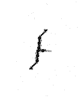 C=CC(=O)OCCCCCCOc1ccc(OC(=O)c2ccc(OC(=O)c3ccc4c(c3)nc(Sc3ccc(OCCCCCC)cc3)c3cc(C(=O)Oc5ccc(C(=O)Oc6ccc(OCCCCCCOC(=O)C=C)cc6)cc5)ccc34)cc2)cc1